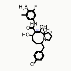 Bc1c(F)cc(NC(=O)/C2=C(\O)C3(C)CCCN3C(Cc3ccc(Cl)cc3)CCC2O)cc1I